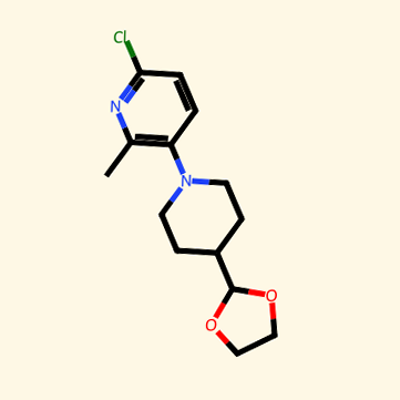 Cc1nc(Cl)ccc1N1CCC(C2OCCO2)CC1